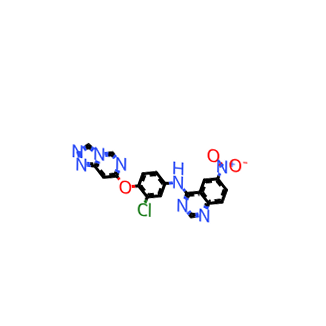 O=[N+]([O-])c1ccc2ncnc(Nc3ccc(Oc4cc5nncn5cn4)c(Cl)c3)c2c1